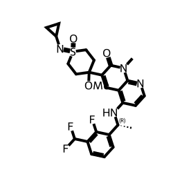 COC1(c2cc3c(N[C@H](C)c4cccc(C(F)F)c4F)ccnc3n(C)c2=O)CCS(=O)(=NC2CC2)CC1